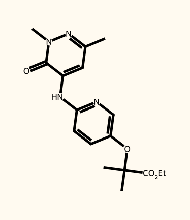 CCOC(=O)C(C)(C)Oc1ccc(Nc2cc(C)nn(C)c2=O)nc1